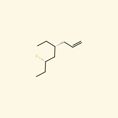 C=CC[C@@H](CC)C[C@@H](F)CC